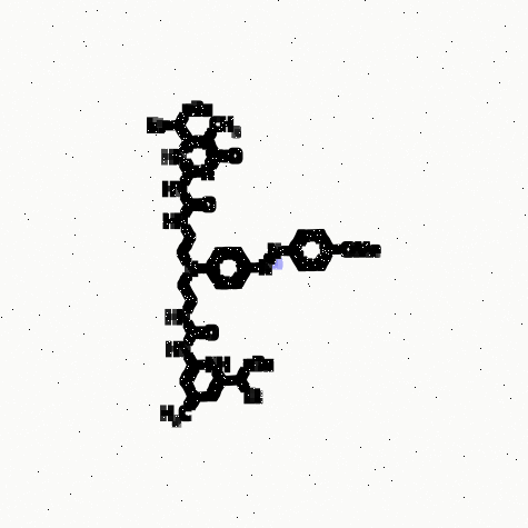 C=C1C=C(NC(=O)NCCN(CCNC(=O)Nc2nc(=O)c(C)c(C(CC)CCCC)[nH]2)c2ccc(/N=N/c3ccc(OC)cc3)cc2)NC(C(CC)CCCC)=C1